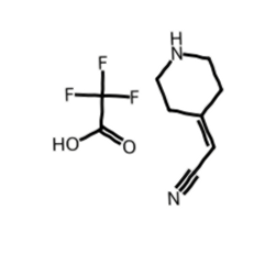 N#CC=C1CCNCC1.O=C(O)C(F)(F)F